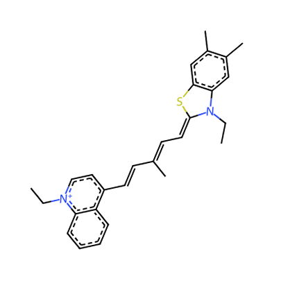 CCN1/C(=C/C=C(C)/C=C/c2cc[n+](CC)c3ccccc23)Sc2cc(C)c(C)cc21